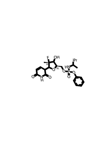 CC(C)C(C)NP(=O)(OC[C@H]1OC(C2C=CC(=O)NC2=O)[C@](C)(F)C1O)Oc1ccccc1